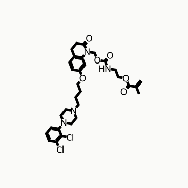 C=C(C)C(=O)OCCNC(=O)OCN1C(=O)CCc2ccc(OCCCCN3CCN(c4cccc(Cl)c4Cl)CC3)cc21